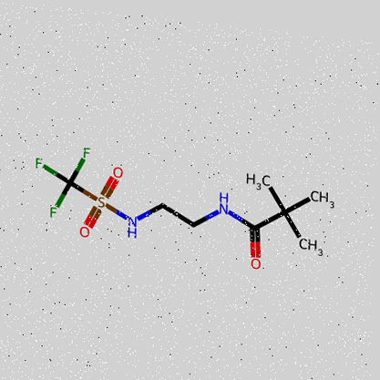 CC(C)(C)C(=O)NCCNS(=O)(=O)C(F)(F)F